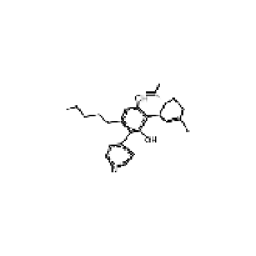 C=C(C)[C@@H]1CCC(C)=C[C@H]1c1c(O)cc(CCCCC)c(-c2ccncc2)c1O